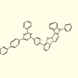 C1=CC2c3cccc(-c4ccc(-c5nc(-c6ccccc6)nc(-c6ccc(-c7ccccc7)cc6)n5)cc4)c3OC2c2c1n(-c1ccccc1)c1ccccc21